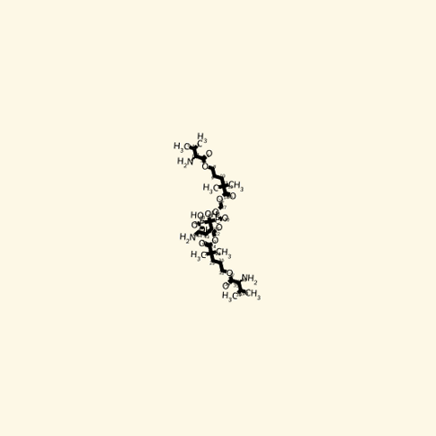 CC(C)[C@H](N)C(=O)OCCCC(C)(C)C(=O)OCOP(=O)(OCOC(=O)C(C)(C)CCCOC(=O)[C@@H](N)C(C)C)C(O)(CCCN)P(=O)(O)O